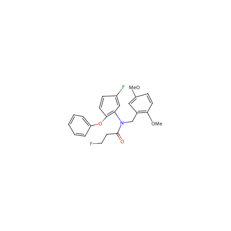 COc1ccc(OC)c(CN(C(=O)CCF)c2cc(F)ccc2Oc2ccccc2)c1